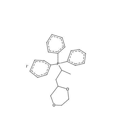 CC(CC1COCCO1)[P+](c1ccccc1)(c1ccccc1)c1ccccc1.[I-]